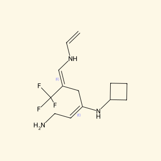 C=CN/C=C(\C/C(=C\CN)NC1CCC1)C(F)(F)F